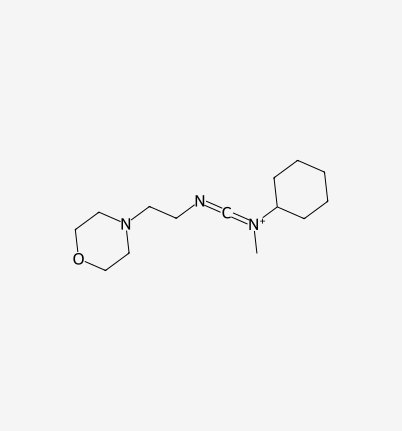 C[N+](=C=NCCN1CCOCC1)C1CCCCC1